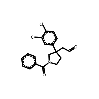 O=CCC1(c2ccc(Cl)c(Cl)c2)CCN(C(=O)c2ccccc2)C1